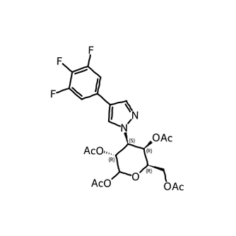 CC(=O)OC[C@H]1OC(OC(C)=O)[C@H](OC(C)=O)[C@@H](n2cc(-c3cc(F)c(F)c(F)c3)cn2)[C@H]1OC(C)=O